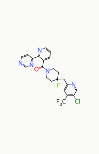 O=C(c1cccnc1-c1ccncn1)N1CCC(F)(Cc2cc(C(F)(F)F)c(Cl)cn2)CC1